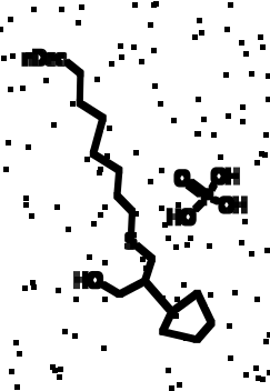 CCCCCCCCCCCCCCCCCSCC(CO)C1CCCC1.O=P(O)(O)O